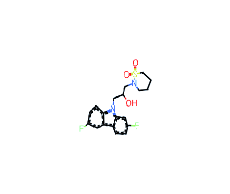 O=S1(=O)CCCCN1CC(O)Cn1c2ccc(F)cc2c2ccc(F)cc21